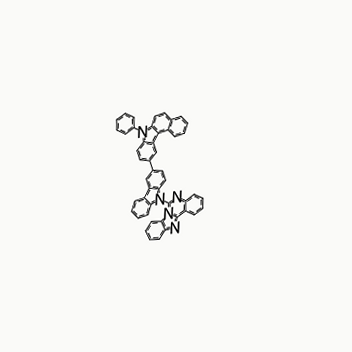 c1ccc(-n2c3ccc(-c4ccc5c(c4)c4ccccc4n5-c4nc5ccccc5c5nc6ccccc6n45)cc3c3c4ccccc4ccc32)cc1